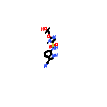 Cn1c(S(=O)(=O)Nc2cccc3c(C#N)c[nH]c23)cnc1OCC(C)(C)O